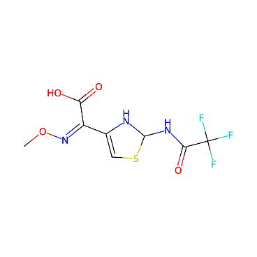 CON=C(C(=O)O)C1=CSC(NC(=O)C(F)(F)F)N1